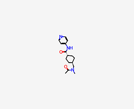 CC(=O)N(C)C[C@H]1CC[C@H](C(=O)Nc2ccncc2)CC1